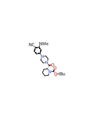 CNc1cc(N2CCN(C(=O)[C@H]3CCCCN3C(=O)OC(C)(C)C)CC2)ccc1C#N